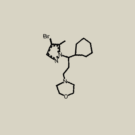 Cc1c(Br)cnn1C(CCN1CCOCC1)C1CCCCC1